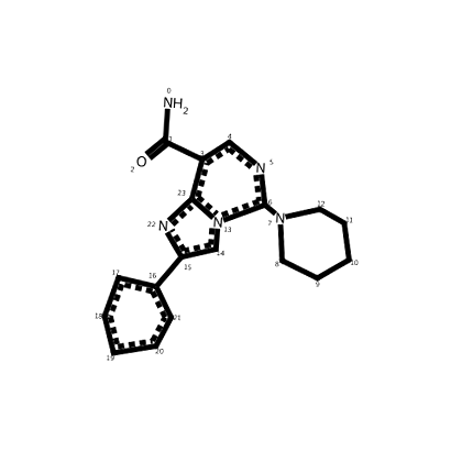 NC(=O)c1[c]nc(N2CCCCC2)n2cc(-c3ccccc3)nc12